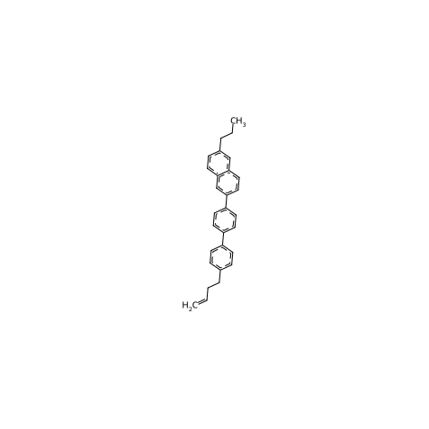 C=CCCc1ccc(-c2ccc(-c3ccc4cc(CCC)ccc4c3)cc2)cc1